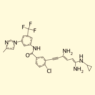 Cc1cn(-c2cc(NC(=O)c3ccc(Cl)c(C#C/C(N)=C/C=C(\N)NC4CC4)c3)cc(C(F)(F)F)c2)cn1